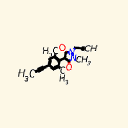 C#CCN1C(=O)C(c2c(C)cc(C#CC)cc2C)C(=O)N1C